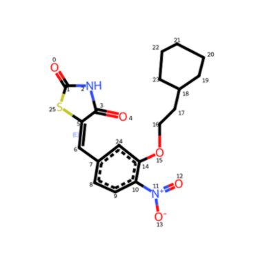 O=C1NC(=O)/C(=C\c2ccc([N+](=O)[O-])c(OCCC3CCCCC3)c2)S1